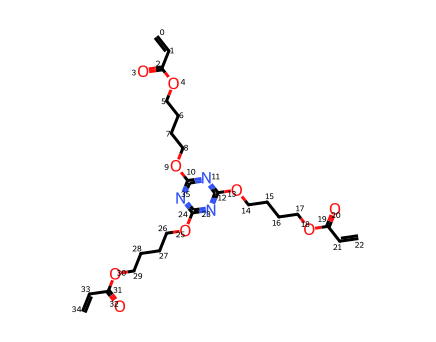 C=CC(=O)OCCCCOc1nc(OCCCCOC(=O)C=C)nc(OCCCCOC(=O)C=C)n1